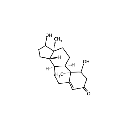 C[C@]12CC[C@@H]3[C@@H](CCC4=CC(=O)CC(O)[C@@]43C)[C@@H]1CCC2O